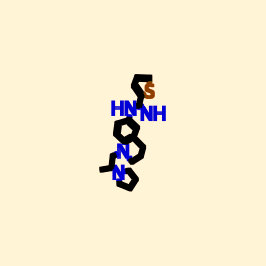 CC(CN1CCCc2cc(NC(=N)c3cccs3)ccc21)N1CCCC1